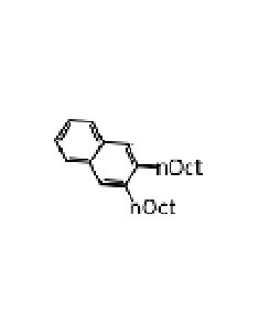 CCCCCCCCc1[c]c2ccccc2cc1CCCCCCCC